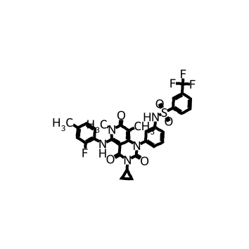 Cc1ccc(Nc2c3c(=O)n(C4CC4)c(=O)n(-c4cccc(NS(=O)(=O)c5cccc(C(F)(F)F)c5)c4)c3c(C)c(=O)n2C)c(F)c1